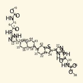 COC(=O)NCCC(=O)Pc1ncc(-c2ccc3cc(-c4ccc5cc(-c6cnc(PC(=O)CNC(=O)OC)[nH]6)sc5c4)ccc3c2)[nH]1